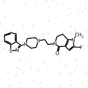 Cn1c(F)cc2c1CCN(CCN1CCN(c3nsc4ccccc34)CC1)C2=O